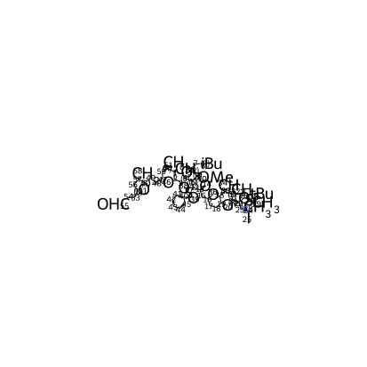 C=C1C(C[C@@H]2O[C@H](C[C@H](C)CC)[C@H](OC)[C@H]2C(C(=O)CC2CCC3O[C@@H]([C@H](/C=C/I)O[Si](C)(C)C(C)(C)C)[C@@H](C)[C@@H](C)C3O2)S(=O)(=O)c2ccccc2)OC(CC[C@@H]2O[C@@H](CCC=O)CC2=C)C[C@H]1C